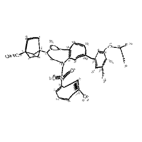 O=CC12CCC(C3CN(S(=O)(=O)c4cccc(C(F)(F)F)c4)c4cc(-c5cc(F)cc(OC(F)F)c5)ccc4O3)(CC1)C2